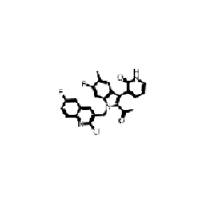 CC(=O)c1c(-c2ccc[nH]c2=O)c2cc(C)c(F)cc2n1Cc1cc2cc(F)ccc2nc1Cl